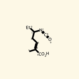 CCC(CC=C(C)C(=O)O)N=C=O